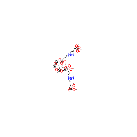 CO[Si](CCCNCCC[Si](OC)(OC)O[Si](C)(C)O[Si](C)(C)O[Si](C)(C)O[Si](C)(C)O[Si](CCCNCCC[Si](OC)(OC)OC)(OC)OC)(OC)OC